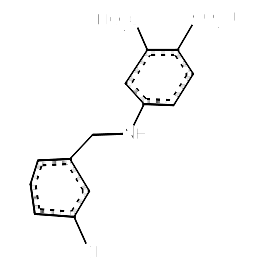 CCOC(=O)c1ccc(NCc2cccc(Cl)c2)cc1C(=O)O